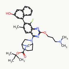 Cc1cc2c(N3CC4CCCC3CN4C(=O)OC(C)(C)C)nc(OCCCN(C)C)nc2c(F)c1-c1cc(O)cc2ccccc12